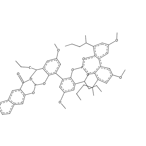 CCCC(C)c1cc(OC)cc(-c2cc(OC)cc(C(C)CCC)c2Op2oc3c(C(C)CCC)cc(OC)cc3c3cc(OC)cc(C(C)CCC)c3o2)c1OP1OC(=O)c2cc3ccccc3cc2O1